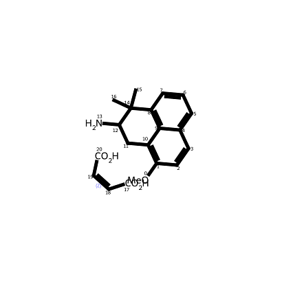 COc1ccc2cccc3c2c1CC(N)C3(C)C.O=C(O)/C=C\C(=O)O